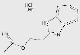 CC(=N)OCCc1nc2ccccc2[nH]1.Cl.Cl